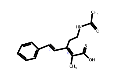 CC(=O)NCCC(/C=C/c1ccccc1)=C(/C)C(O)=S